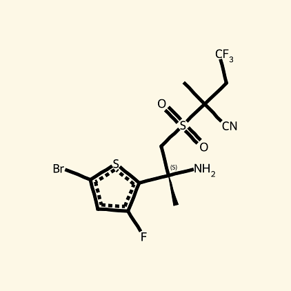 CC(C#N)(CC(F)(F)F)S(=O)(=O)C[C@](C)(N)c1sc(Br)cc1F